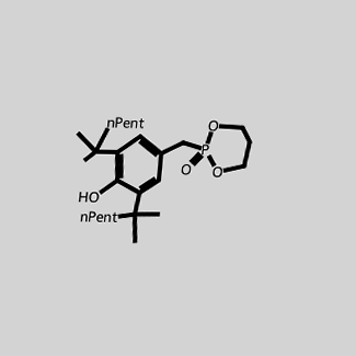 CCCCCC(C)(C)c1cc(CP2(=O)OCCCO2)cc(C(C)(C)CCCCC)c1O